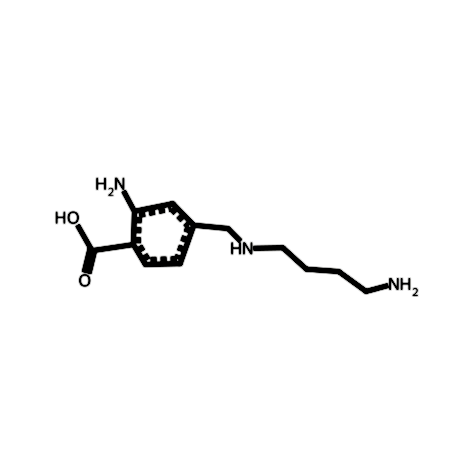 NCCCCNCc1ccc(C(=O)O)c(N)c1